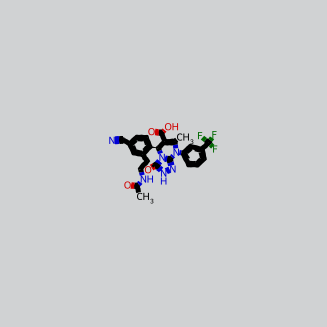 CC(=O)NCCc1cc(C#N)ccc1[C@@H]1C(C(=O)O)=C(C)N(c2cccc(C(F)(F)F)c2)c2n[nH]c(=O)n21